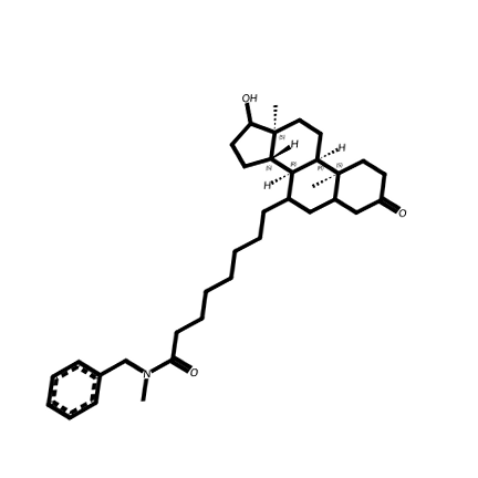 CN(Cc1ccccc1)C(=O)CCCCCCCC1CC2CC(=O)CC[C@]2(C)[C@@H]2CC[C@]3(C)C(O)CC[C@H]3[C@H]12